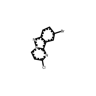 Clc1ccn2nc3ccc(Br)cc3c2n1